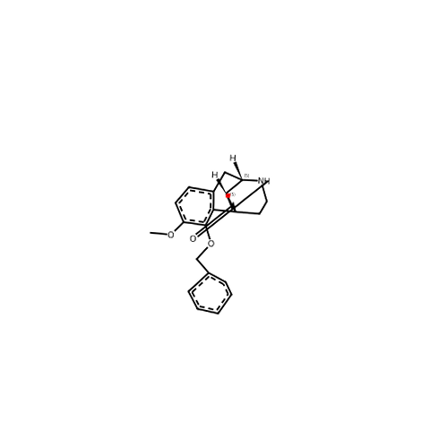 COc1ccc2c(c1OCc1ccccc1)C13CCN[C@@H](C2)[C@H]1CCC(=O)C3